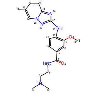 CCOc1cc(C(=O)NCCN(C)C)ccc1Nc1nc2ccc(C)cn2n1